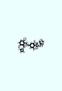 O=S(=O)(Nc1cscn1)c1c(F)cc(NCc2c(Cl)ccc(F)c2CN2CCC2)cc1F